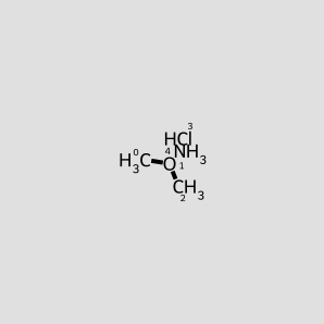 COC.Cl.N